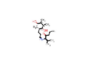 CC(=O)CCC(=O)C(/N=C\CC[C@H](C)[C@H](O)[C@H](C)[C@H](C)CO)=C(C)C